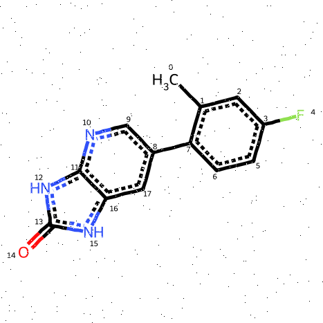 Cc1cc(F)ccc1-c1cnc2[nH]c(=O)[nH]c2c1